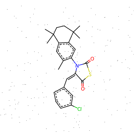 Cc1cc2c(cc1N1C(=O)SC(=O)C1=Cc1cccc(Cl)c1)C(C)(C)CCC2(C)C